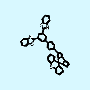 c1ccc2c(c1)Sc1ccccc1C21c2ccccc2-c2ccc(-c3ccc(-c4cc(-c5nc6ccccc6s5)cc(-c5nc6ccccc6s5)c4)cc3)cc21